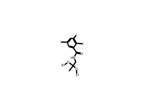 CCOC(C)(CNC(=O)c1cc(I)cc(I)c1I)OCC